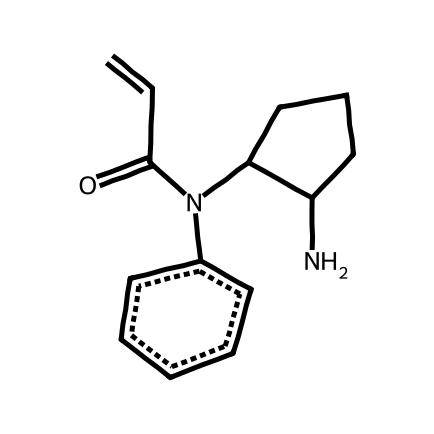 C=CC(=O)N(c1ccccc1)C1CCCC1N